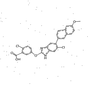 COc1ccc2cc(-c3cc4nc(Oc5ccc(Cl)c(C(=O)O)c5)[nH]c4cc3Cl)ccc2c1